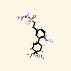 CNS(=O)(=O)CCc1ccc(N)c(C2=CCC(C)(C)CC2)c1